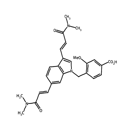 COc1cc(C(=O)O)ccc1Cn1cc(C=CC(=O)N(C)C)c2ccc(C=CC(=O)N(C)C)cc21